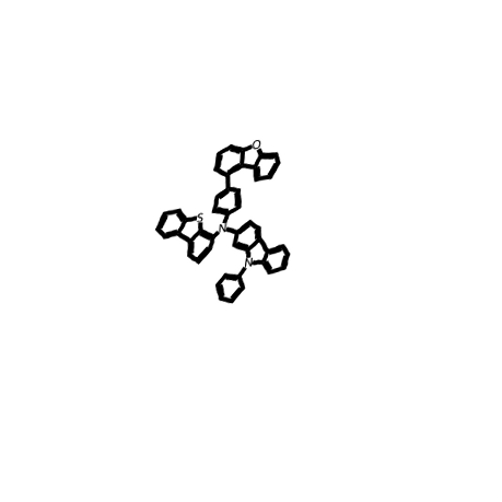 c1ccc(-n2c3ccccc3c3ccc(N(c4ccc(-c5cccc6oc7ccccc7c56)cc4)c4cccc5c4sc4ccccc45)cc32)cc1